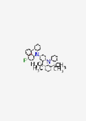 CC1(C)c2ccccc2N2c3ccc(N(c4ccc(F)cc4)c4ccccc4-c4ccccc4)cc3C(C)(C)c3cccc1c32